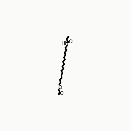 C=CC(=O)NCCCCCCCCCCCCCCCCCCOCC1CO1